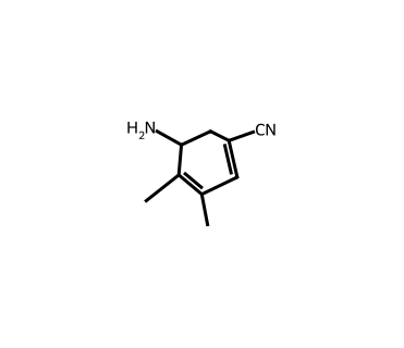 CC1=C(C)C(N)CC(C#N)=C1